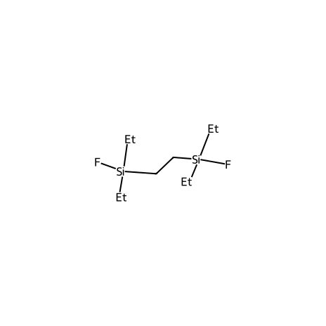 CC[Si](F)(CC)CC[Si](F)(CC)CC